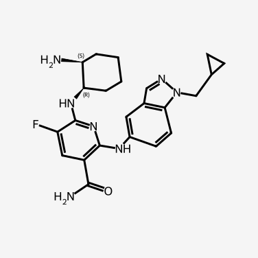 NC(=O)c1cc(F)c(N[C@@H]2CCCC[C@@H]2N)nc1Nc1ccc2c(cnn2CC2CC2)c1